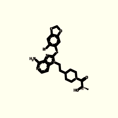 C[C@H](O)C(=O)N1CCC(CCn2c(Sc3cc4c(cc3Br)OCO4)nc3c(N)nccc32)CC1